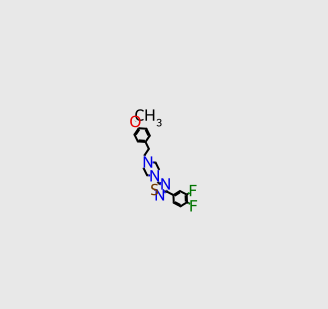 COc1ccc(CCN2CCN(c3nc(-c4ccc(F)c(F)c4)ns3)CC2)cc1